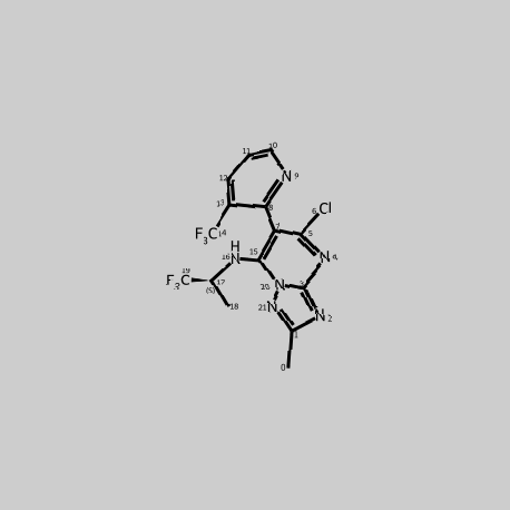 Cc1nc2nc(Cl)c(-c3ncccc3C(F)(F)F)c(N[C@@H](C)C(F)(F)F)n2n1